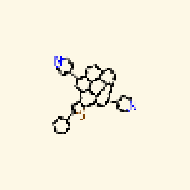 c1ccc(-c2cc3c4cc(-c5ccncc5)c5ccc6ccc7c(-c8ccncc8)cc(c3s2)c2c7c6c5c42)cc1